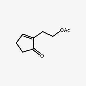 CC(=O)OCCC1=CCCC1=O